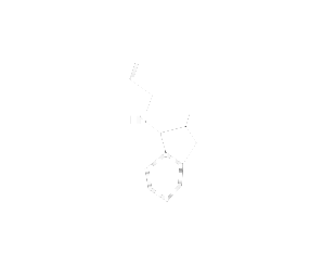 C=CCNC1c2ccccc2CC1O